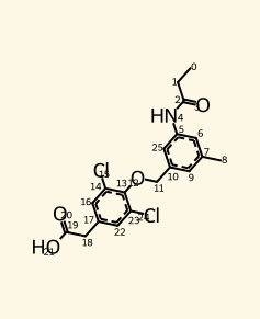 CCC(=O)Nc1cc(C)cc(COc2c(Cl)cc(CC(=O)O)cc2Cl)c1